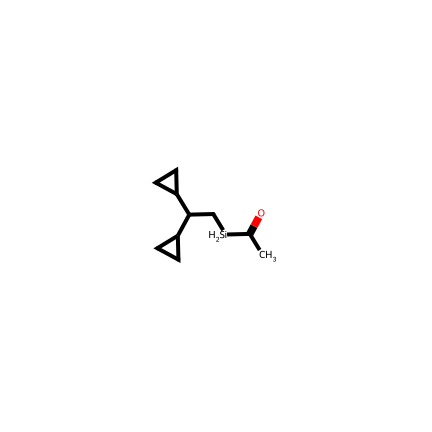 CC(=O)[SiH2]CC(C1CC1)C1CC1